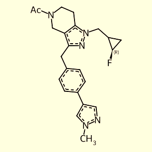 CC(=O)N1CCc2c(c(Cc3ccc(-c4cnn(C)c4)cc3)nn2CC2C[C@H]2F)C1